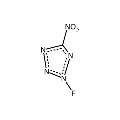 O=[N+]([O-])c1nnn(F)n1